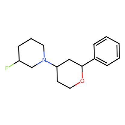 FC1[CH]CCN(C2CCOC(c3ccccc3)C2)C1